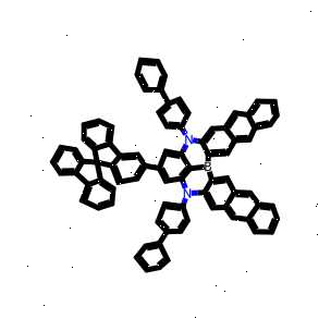 c1ccc(-c2ccc(N3c4cc5cc6ccccc6cc5cc4B4c5cc6cc7ccccc7cc6cc5N(c5ccc(-c6ccccc6)cc5)c5cc(-c6ccc7c(c6)-c6ccccc6C76c7ccccc7-c7ccccc76)cc3c54)cc2)cc1